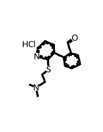 CN(C)CCSc1ncccc1-c1ccccc1C=O.Cl